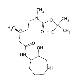 C[C@@H](CCN(C)C(=O)OC(C)(C)C)CC(=O)NC1CCCNCC1O